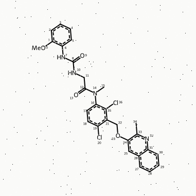 COc1ccccc1NC(=O)NCC(=O)N(C)c1ccc(Cl)c(COc2cc3ccccc3nc2C)c1Cl